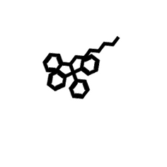 CCCCCCCC(c1ccccc1)C(c1ccccc1)(c1ccccc1)c1ccccc1